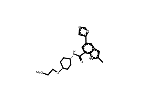 COCCO[C@H]1CC[C@H](NC(=O)c2cc(-c3cncs3)cc3cc(C)[nH]c23)CC1